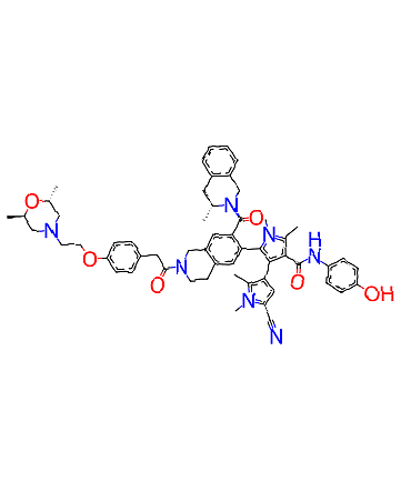 Cc1c(-c2c(C(=O)Nc3ccc(O)cc3)c(C)n(C)c2-c2cc3c(cc2C(=O)N2Cc4ccccc4C[C@H]2C)CN(C(=O)Cc2ccc(OCCN4C[C@@H](C)O[C@H](C)C4)cc2)CC3)cc(C#N)n1C